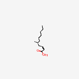 CCCCCCC(C)C/C=C\C(=O)O